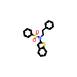 O=S(=O)(c1ccccc1)N(CCc1ccccc1)c1cc2ccccc2s1